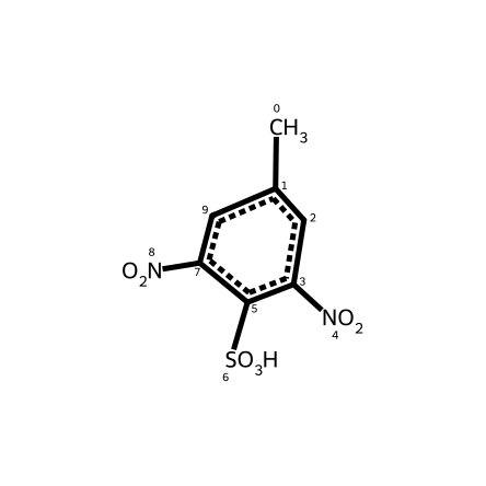 Cc1cc([N+](=O)[O-])c(S(=O)(=O)O)c([N+](=O)[O-])c1